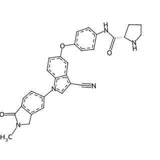 CN1Cc2cc(-n3cc(C#N)c4cc(Oc5ccc(NC(=O)[C@@H]6CCCN6)cc5)ccc43)ccc2C1=O